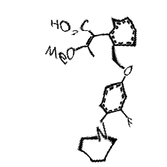 COC(C)=C(C(=O)O)c1ccccc1COc1ccc(N2CCCCC2)c(F)c1